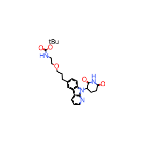 CC(C)(C)OC(=O)NCCOCCCc1ccc2c(c1)c1cccnc1n2C1CCC(=O)NC1=O